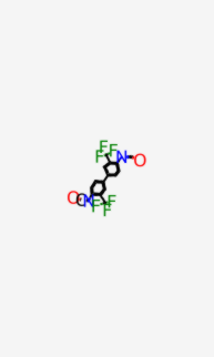 O=C=Nc1ccc(-c2ccc(N=C=O)c(C(F)(F)F)c2)cc1C(F)(F)F